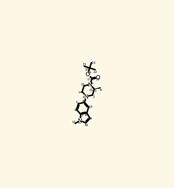 C[C@H]1CN(c2ccc3c(ccn3C)c2)CCN1C(=O)OC(C)(C)C